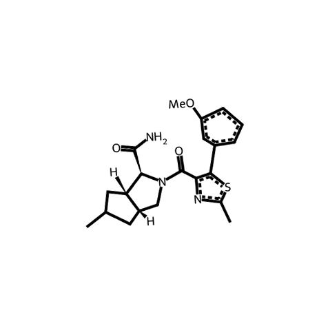 COc1cccc(-c2sc(C)nc2C(=O)N2C[C@@H]3CC(C)C[C@@H]3[C@H]2C(N)=O)c1